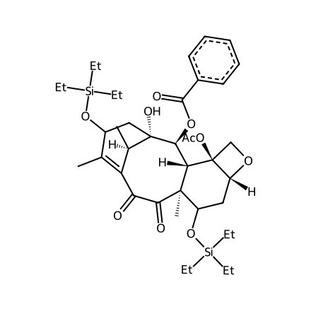 CC[Si](CC)(CC)OC1C[C@]2(O)[C@H](C)C(=C1C)C(=O)C(=O)[C@]1(C)C(O[Si](CC)(CC)CC)C[C@H]3OC[C@@]3(OC(C)=O)[C@H]1[C@@H]2OC(=O)c1ccccc1